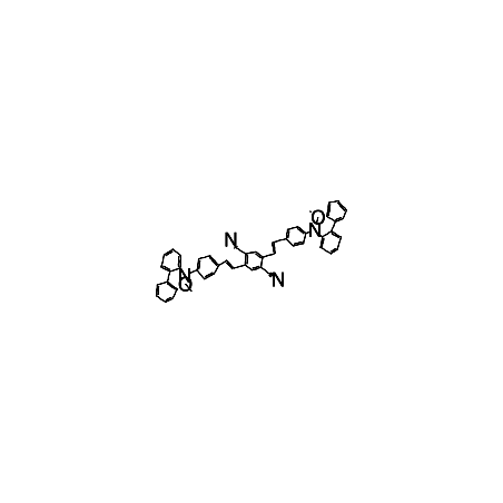 CON(c1ccc(C=Cc2cc(C#N)c(C=Cc3ccc(N(OC)c4ccccc4-c4ccccc4)cc3)cc2C#N)cc1)c1ccccc1-c1ccccc1